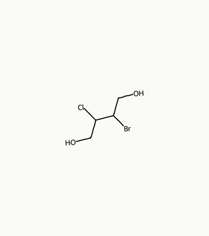 OCC(Cl)C(Br)CO